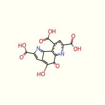 O=C(O)C1=CC2=C(O)C(=O)c3nc(C(=O)O)cc(C(=O)O)c3C2=N1